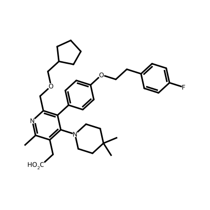 Cc1nc(COCC2CCCC2)c(-c2ccc(OCCc3ccc(F)cc3)cc2)c(N2CCC(C)(C)CC2)c1CC(=O)O